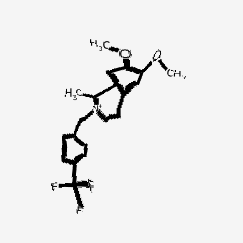 COc1cc2c(cc1OC)C(C)=[N+](Cc1ccc(C(F)(F)F)cc1)CC2